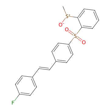 C[S+]([O-])c1ccccc1S(=O)(=O)c1ccc(C=Cc2ccc(F)cc2)cc1